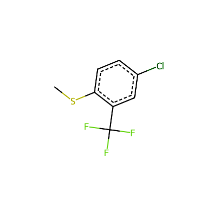 CSc1ccc(Cl)cc1C(F)(F)F